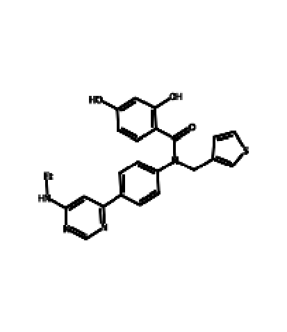 CCNc1cc(-c2ccc(N(Cc3ccsc3)C(=O)c3ccc(O)cc3O)cc2)ncn1